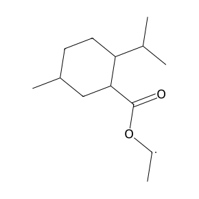 C[CH]OC(=O)C1CC(C)CCC1C(C)C